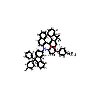 Cc1ccc(C2(c3ccccc3)c3ccccc3-c3cc(N(c4ccc(-c5ccc(C(C)(C)C)cc5)cc4)c4ccc5ccccc5c4-c4cccc5c4-c4ccccc4C5(C)C)ccc32)cc1